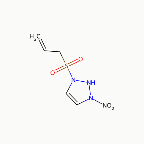 C=CCS(=O)(=O)N1C=CN([N+](=O)[O-])N1